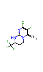 C=C1C(F)=C(Cl)N=C2NC(C(F)(F)F)CCN12